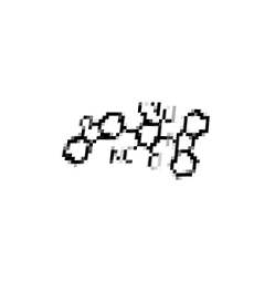 N#Cc1c(Cl)c(-n2c3ccccc3c3ccccc32)c(Cl)c(C#N)c1-c1ccc2oc3ccccc3c2c1